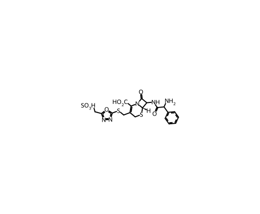 NC(C(=O)NC1C(=O)N2C(C(=O)O)=C(CSc3nnc(CS(=O)(=O)O)o3)CS[C@@H]12)c1ccccc1